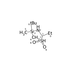 CCC(N[Si](C)(C)C(C)(C)C)[SH](=O)=O